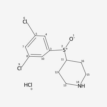 Cl.[O-][S+](c1cc(Cl)cc(Cl)c1)C1CCNCC1